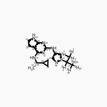 [2H]C([2H])([2H])C([2H])(n1cc(Nc2nc(N[C@@H](C)C3CC3)c3cc[nH]c3n2)cn1)C([2H])([2H])[2H]